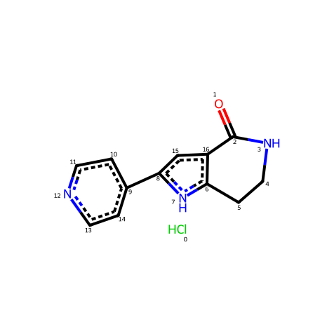 Cl.O=C1NCCc2[nH]c(-c3ccncc3)cc21